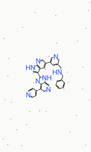 c1ccc(CNCc2cncc(-c3cnc4[nH]cc(-c5nc6c(-c7ccncc7)cncc6[nH]5)c4c3)c2)cc1